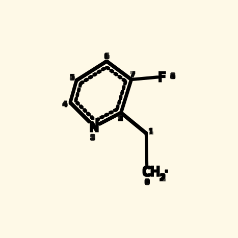 [CH2]Cc1ncccc1F